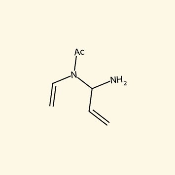 C=CC(N)N(C=C)C(C)=O